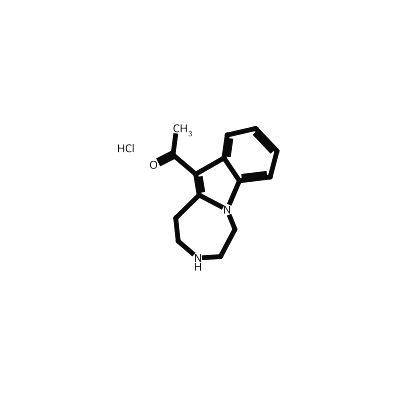 CC(=O)c1c2n(c3ccccc13)CCNCC2.Cl